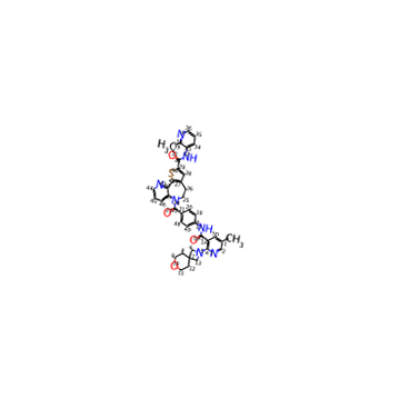 Cc1cnc(N2CC3(CCOCC3)C2)c(C(=O)Nc2ccc(C(=O)N3CCc4cc(C(=O)Nc5cccnc5C)sc4-c4ncccc43)cc2)c1